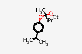 C=C(C)c1ccc(OC(C)(OCC)C(C)C)cc1